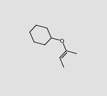 CC=C(C)OC1CCCCC1